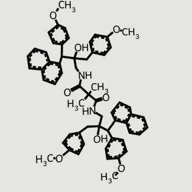 COc1ccc(CC(O)(CNC(=O)C(C)(C)C(=O)NCC(O)(Cc2ccc(OC)cc2)C(c2ccc(OC)cc2)c2cccc3ccccc23)C(c2ccc(OC)cc2)c2cccc3ccccc23)cc1